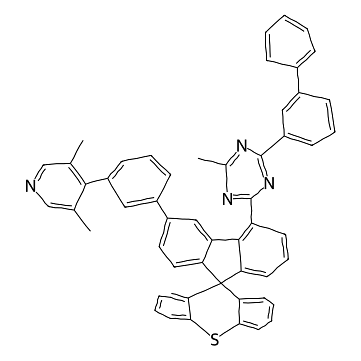 Cc1nc(-c2cccc(-c3ccccc3)c2)nc(-c2cccc3c2-c2cc(-c4cccc(-c5c(C)cncc5C)c4)ccc2C32c3ccccc3Sc3ccccc32)n1